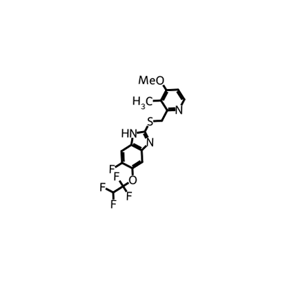 COc1ccnc(CSc2nc3cc(OC(F)(F)C(F)F)c(F)cc3[nH]2)c1C